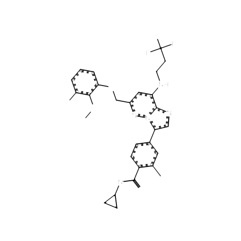 COc1c(F)cccc1OCc1cc(NCCC(F)(F)F)c2ncc(-c3ccc(C(=O)NC4CC4)c(C)c3)n2n1